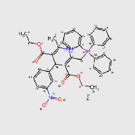 CCOC(=O)C1=C(C)NC(C[P+](c2ccccc2)(c2ccccc2)c2ccccc2)=C(C(=O)OCC)C1c1cccc([N+](=O)[O-])c1.[I-]